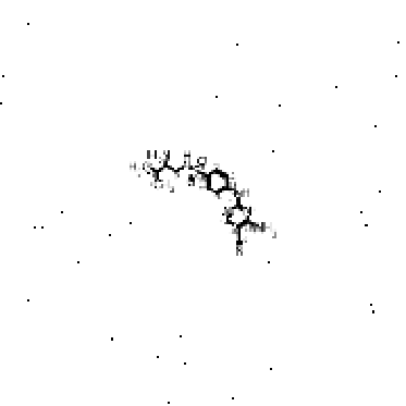 CC(C)C(N)CNS(=O)(=O)c1ccc(Nc2ncc(C#N)c(N)n2)cc1